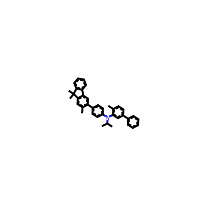 Cc1cc2c(cc1-c1ccc(N(c3cc(-c4ccccc4)ccc3C)C(C)C)cc1)-c1ccccc1C2(C)C